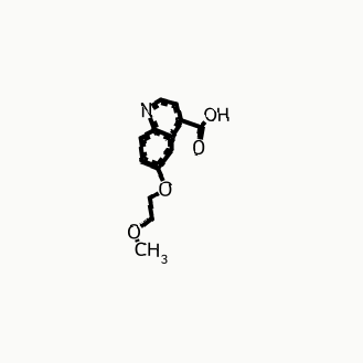 COCCOc1ccc2nccc(C(=O)O)c2c1